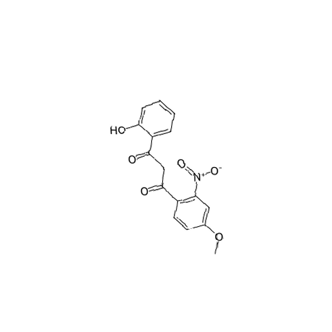 COc1ccc(C(=O)CC(=O)c2ccccc2O)c([N+](=O)[O-])c1